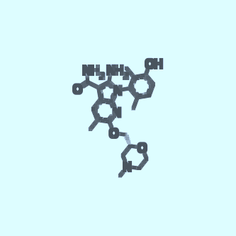 Cc1cc2c(C(N)=O)c(N)n(-c3c(C)ccc(O)c3C)c2nc1OC[C@H]1CN(C)CCO1